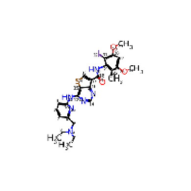 CCN(CC)Cc1cccc(Nc2ncnc3c(C(=O)Nc4c(C)c(OC)cc(OC)c4I)csc23)n1